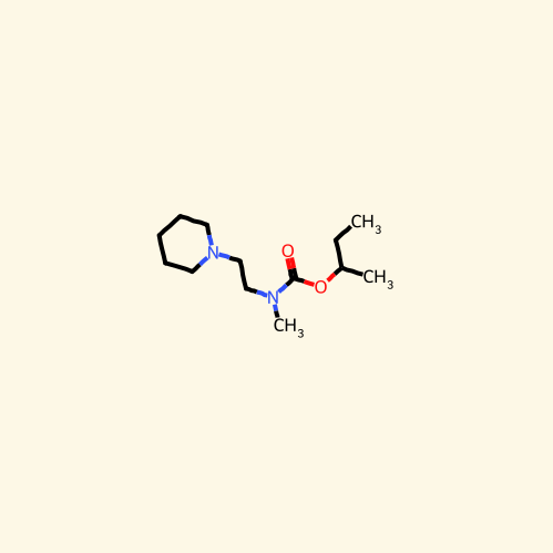 CCC(C)OC(=O)N(C)CCN1CCCCC1